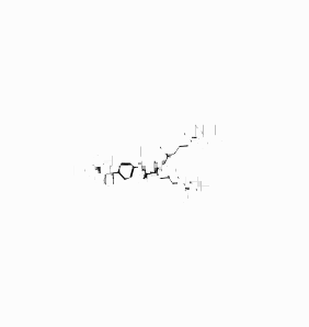 CC(C)(C)OC(=O)c1ccc(NC(=O)[C@H](CCCNC(N)=O)NC(=O)[C@@H](N)CCCNC(N)=O)cc1